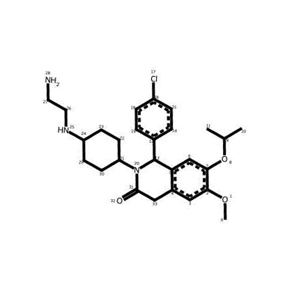 COc1cc2c(cc1OC(C)C)C(c1ccc(Cl)cc1)N(C1CCC(NCCN)CC1)C(=O)C2